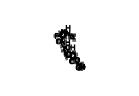 O=C(NCC(O)CN1CCc2c(ccc(OCc3cnco3)c2Cl)C1)c1cc(NC2CCC2)ncc1F